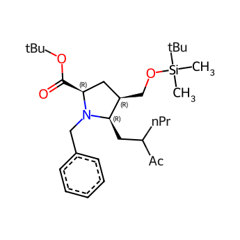 CCCC(C[C@@H]1[C@H](CO[Si](C)(C)C(C)(C)C)C[C@H](C(=O)OC(C)(C)C)N1Cc1ccccc1)C(C)=O